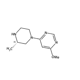 COc1cc(N2CCN[C@@H](C)C2)ncn1